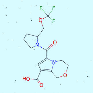 O=C(O)c1cc(C(=O)N2CCCC2COC(F)(F)F)n2c1COCC2